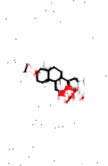 C[C@]12CCC3(C[C@H]1CCC1C2C[C@H](O)[C@@]2(C)C1CC[C@@]21OCOC12COCO2)OCCO3